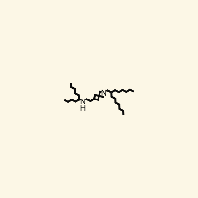 CCCCCCCC(CCCCCC)CN1CC2(CC(CCNC(CCCC)CCCCC)C2)C1